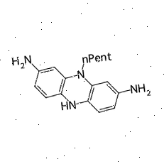 CCCCCN1c2cc(N)ccc2Nc2ccc(N)cc21